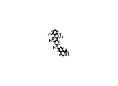 N=c1c2cnc(Nc3ccc4c(c3)CCNC43CC3)nc2[nH]c(=O)n1-c1c(Cl)cccc1Cl